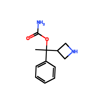 CC(OC(N)=O)(c1ccccc1)C1CNC1